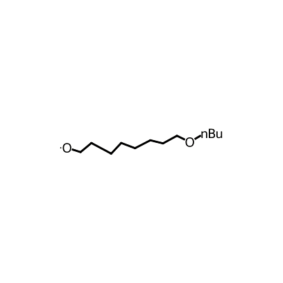 CCCCOCCCCCCCC[O]